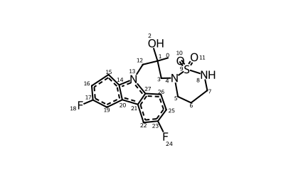 CC(O)(CN1CCCNS1(=O)=O)Cn1c2ccc(F)cc2c2cc(F)ccc21